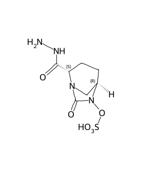 NNC(=O)[C@@H]1CC[C@@H]2CN1C(=O)N2OS(=O)(=O)O